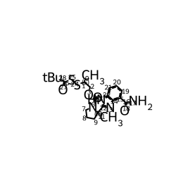 C[C@@H](COC(=O)N1CCC[C@]1(C)c1nc2c(C(N)=O)cccc2[nH]1)SSC(=O)C(C)(C)C